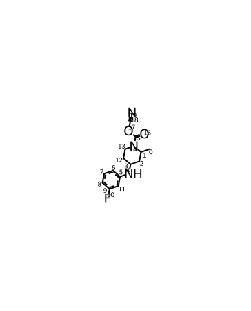 CC1CC(Nc2cccc(F)c2)CCN1C(=O)OC#N